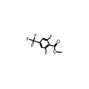 COC(=O)c1c(F)cc(C(F)(F)F)cc1F